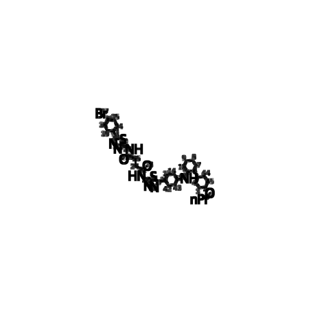 CCCOc1ccc(-c2ccccc2Nc2ccc(-c3nnc(NC(=O)CCC(=O)Nc4nnc(-c5ccc(Br)cc5)s4)s3)cc2)cc1